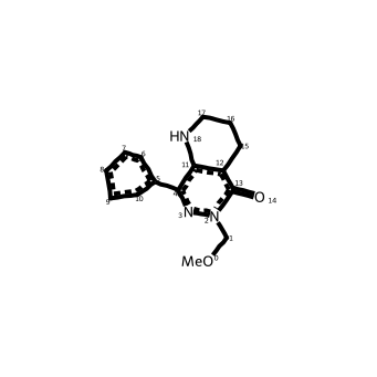 COCn1nc(-c2ccccc2)c2c(c1=O)CCCN2